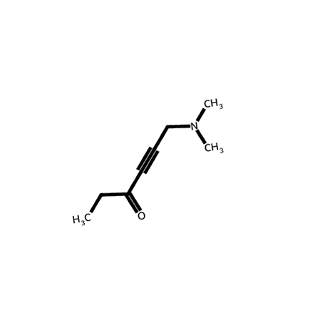 CCC(=O)C#CCN(C)C